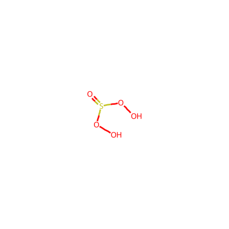 O=S(OO)OO